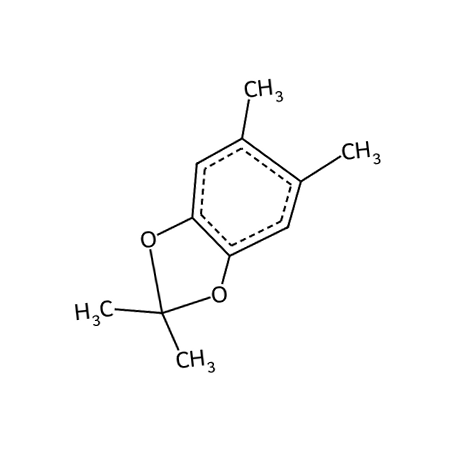 Cc1cc2c(cc1C)OC(C)(C)O2